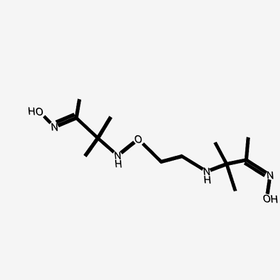 CC(=NO)C(C)(C)NCCONC(C)(C)C(C)=NO